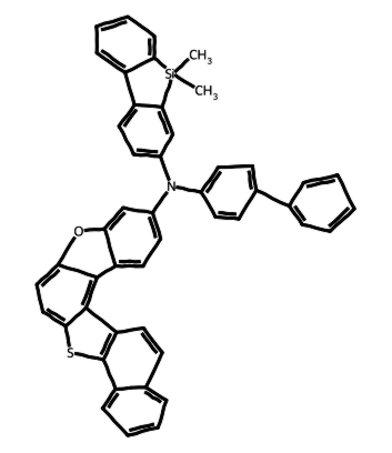 C[Si]1(C)c2ccccc2-c2ccc(N(c3ccc(-c4ccccc4)cc3)c3ccc4c(c3)oc3ccc5sc6c7ccccc7ccc6c5c34)cc21